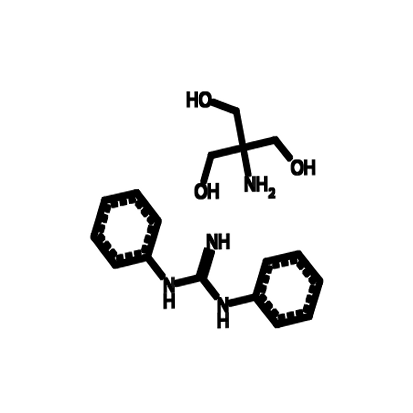 N=C(Nc1ccccc1)Nc1ccccc1.NC(CO)(CO)CO